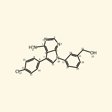 Nc1ncnc2c1c(-c1ccc(Cl)cc1)cn2-c1cccc(CO)c1